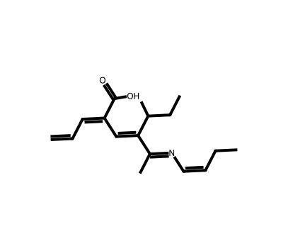 C=C\C=C(/C=C(/C(C)=N/C=C\CC)C(C)CC)C(=O)O